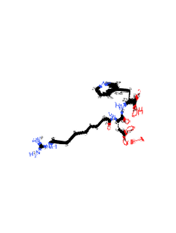 N=C(N)NCCCCCCCC(=O)N[C@@H](CC(=O)O)C(=O)N[C@@H](Cc1cccnc1)C(=O)O